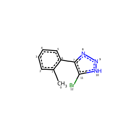 Cc1ccccc1-c1nn[nH]c1Br